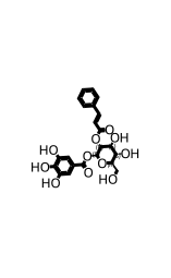 O=C(C=Cc1ccccc1)O[C@H]1[C@H](OC(=O)c2cc(O)c(O)c(O)c2)O[C@H](CO)[C@@H](O)[C@@H]1O